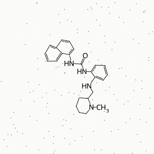 CN1CCCCC1CNc1ccccc1NC(=O)Nc1cccc2ccccc12